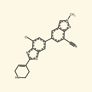 Cn1cc2cc(-c3cc(Cl)c4nc(C5=CCNCC5)sc4c3)cc(C#N)c2n1